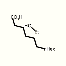 CCCCCCCCCCCC(=O)O.CCO